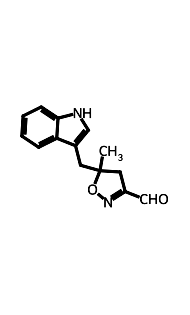 CC1(Cc2c[nH]c3ccccc23)CC(C=O)=NO1